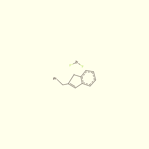 CC(C)CC1=Cc2ccccc2[CH]1.[F][Zr][F]